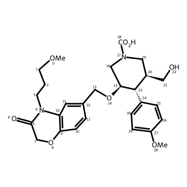 COCCCN1C(=O)COc2ccc(CO[C@H]3CN(C(=O)O)C[C@@H](CO)[C@@H]3c3ccc(OC)cc3)cc21